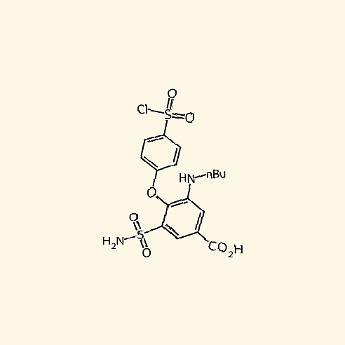 CCCCNc1cc(C(=O)O)cc(S(N)(=O)=O)c1Oc1ccc(S(=O)(=O)Cl)cc1